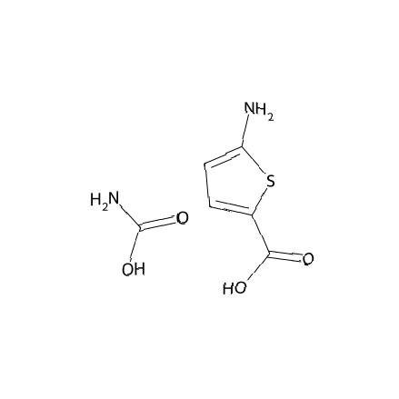 NC(=O)O.Nc1ccc(C(=O)O)s1